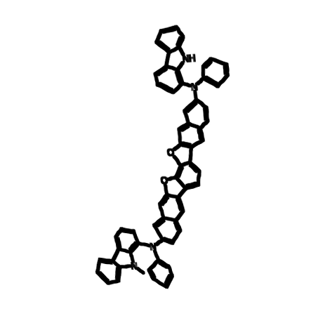 Cn1c2ccccc2c2cccc(N(c3ccccc3)c3ccc4cc5c(cc4c3)oc3c5ccc4c5cc6ccc(N(c7ccccc7)c7cccc8c7[nH]c7ccccc78)cc6cc5oc43)c21